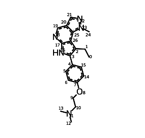 CCc1c(-c2ccc(OCCN(C)C)cc2)[nH]c2ncc3cnn(C)c3c12